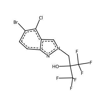 OC(Cn1cc2c(Cl)c(Br)ccc2n1)(C(F)(F)F)C(F)(F)F